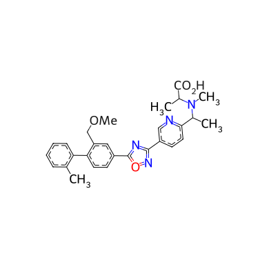 COCc1cc(-c2nc(-c3ccc(C(C)N(C)C(C)C(=O)O)nc3)no2)ccc1-c1ccccc1C